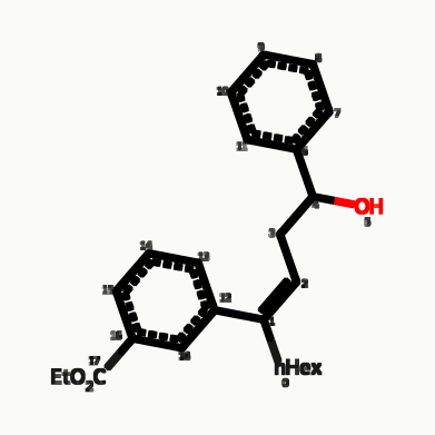 CCCCCCC(=CCC(O)c1ccccc1)c1cccc(C(=O)OCC)c1